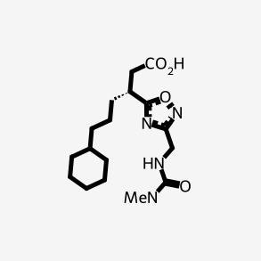 CNC(=O)NCc1noc([C@H](CCCC2CCCCC2)CC(=O)O)n1